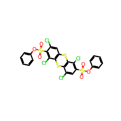 O=S(=O)(Oc1ccccc1)c1cc(Cl)c2c(c1Cl)Sc1cc(Cl)c(S(=O)(=O)Oc3ccccc3)c(Cl)c1S2